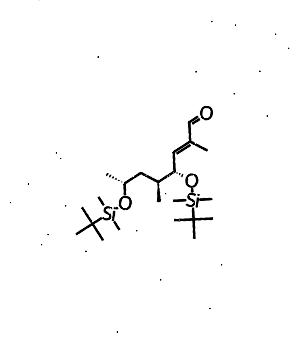 C/C(C=O)=C\[C@H](O[Si](C)(C)C(C)(C)C)[C@@H](C)C[C@@H](C)O[Si](C)(C)C(C)(C)C